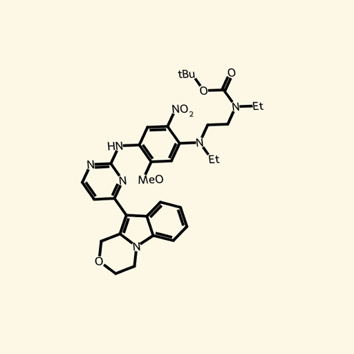 CCN(CCN(CC)c1cc(OC)c(Nc2nccc(-c3c4n(c5ccccc35)CCOC4)n2)cc1[N+](=O)[O-])C(=O)OC(C)(C)C